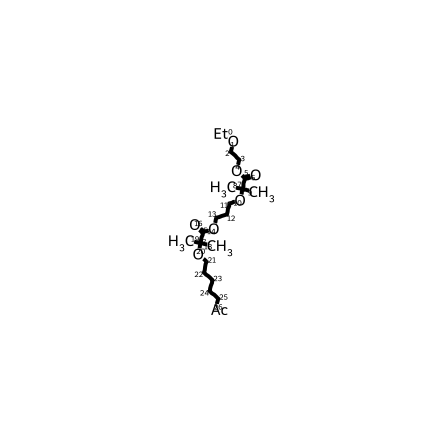 CCOCCOC(=O)C(C)(C)OCCCOC(=O)C(C)(C)OCCCCCC(C)=O